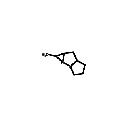 CC1C2CC3CCCN3N12